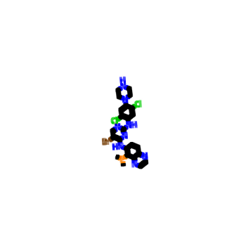 CP(C)c1c(Nc2nc(Nc3cc(Cl)c(N4CCNCC4)cc3Cl)ncc2Br)ccc2nccnc12